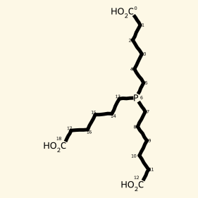 O=C(O)CCCCCP(CCCCCC(=O)O)CCCCCC(=O)O